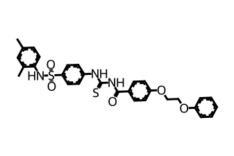 Cc1ccc(NS(=O)(=O)c2ccc(NC(=S)NC(=O)c3ccc(OCCOc4ccccc4)cc3)cc2)c(C)c1